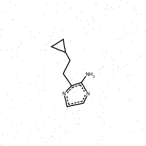 Nc1nccnc1CCC1CC1